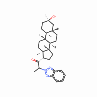 CC(C(=O)[C@H]1CC[C@H]2[C@@H]3CC[C@H]4C[C@](C)(O)CC[C@]4(C)[C@H]3CC[C@]12C)n1nc2ccccc2n1